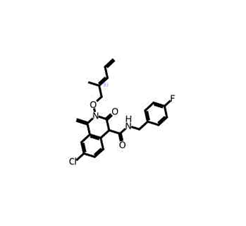 C=C/C=C(\C)CON1C(=C)c2cc(Cl)ccc2C(C(=O)NCc2ccc(F)cc2)C1=O